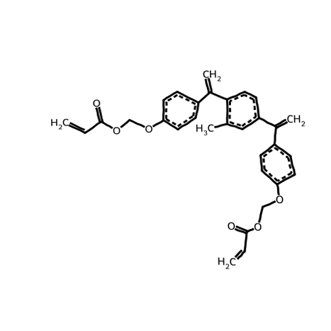 C=CC(=O)OCOc1ccc(C(=C)c2ccc(C(=C)c3ccc(OCOC(=O)C=C)cc3)c(C)c2)cc1